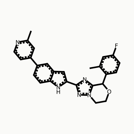 Cc1cc(-c2ccc3[nH]c(-c4nc5n(n4)CCOC5c4ccc(F)cc4C)cc3c2)ccn1